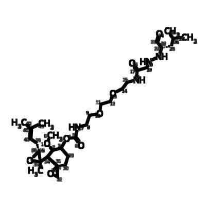 COC1C(OC(=O)NCCOCCOCCNC(=O)CNN[C@H](C=O)CC(C)C)CC[C@]2(CO2)C1C1(C)O[C@@H]1CC=C(C)C